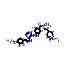 COc1ccc(-c2cnc3c(Nc4ccc(C(=O)N(C)CCC5CC[N+](C)(C)CC5)c(C)c4)nccn23)c(F)c1F